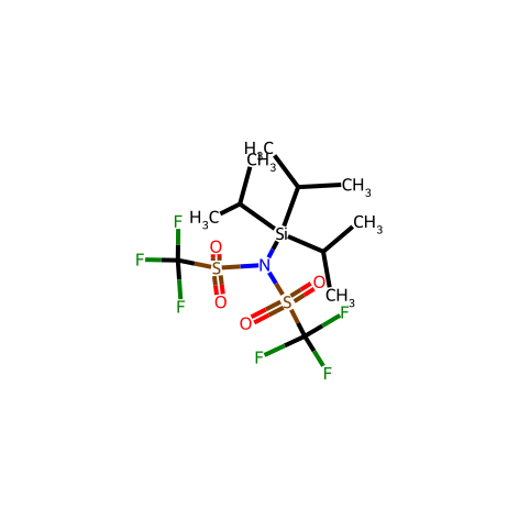 CC(C)[Si](C(C)C)(C(C)C)N(S(=O)(=O)C(F)(F)F)S(=O)(=O)C(F)(F)F